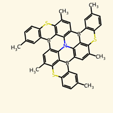 Cc1ccc2c(c1)B1c3cc(C)c4c5c3N3c6c(cc(C)c(c61)S2)B1c2cc(C)ccc2Sc2c(C)cc(c3c21)B5c1cc(C)ccc1S4